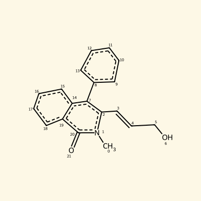 Cn1c(C=CCO)c(-c2ccccc2)c2ccccc2c1=O